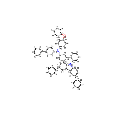 c1ccc(-c2ccc(N(c3cccc(-c4ccccc4-n4c5ccc(-c6ccccc6)cc5c5cc(-c6ccccc6)ccc54)c3)c3ccc4oc5ccccc5c4c3)cc2)cc1